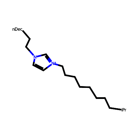 CCCCCCCCCCCCn1cc[n+](CCCCCCCCC(C)C)c1